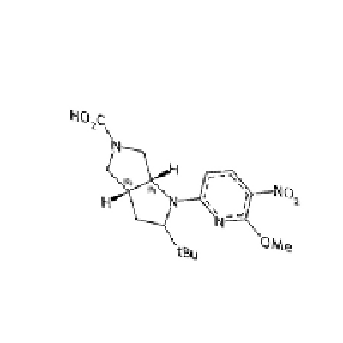 COc1nc(N2C(C(C)(C)C)C[C@@H]3CN(C(=O)O)C[C@@H]32)ccc1[N+](=O)[O-]